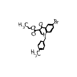 CCOC(=O)c1cn(Cc2ccc(C)cc2)c2ccc(Br)cc2c1=O